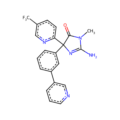 CN1C(=O)C(c2cccc(-c3cccnc3)c2)(c2ccc(C(F)(F)F)cn2)N=C1N